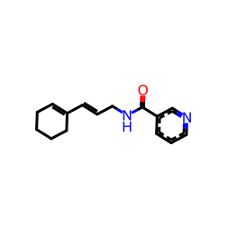 O=C(NCC=CC1=CCCCC1)c1cccnc1